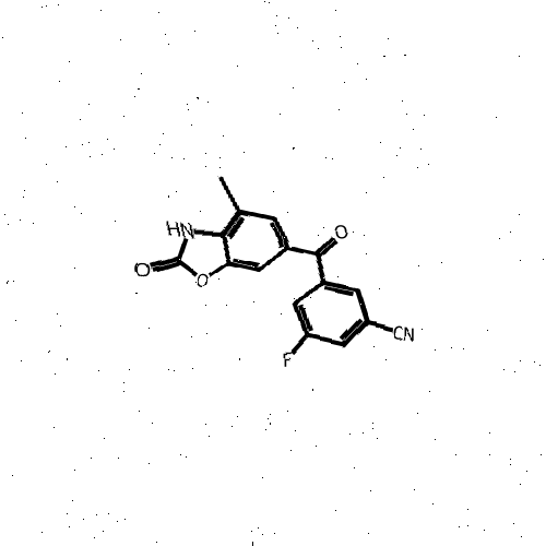 Cc1cc(C(=O)c2cc(F)cc(C#N)c2)cc2oc(=O)[nH]c12